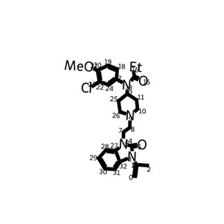 C=C(C)n1c(=O)n(CCN2CCC(N(C(=O)CC)c3ccc(OC)c(Cl)c3)CC2)c2ccccc21